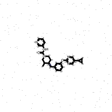 CC1CN(C(=O)Nc2cccnc2)CC/C1=C\c1cccc(Oc2ncc(C3CC3)cn2)c1